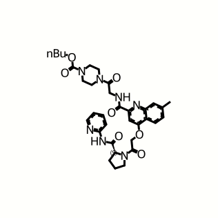 CCCCOC(=O)N1CCN(C(=O)CNC(=O)c2cc(OCC(=O)N3CCC[C@H]3C(=O)Nc3ccccn3)c3ccc(C)cc3n2)CC1